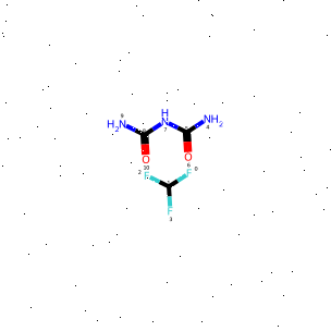 FC(F)F.NC(=O)NC(N)=O